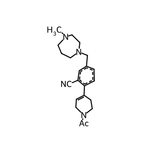 CC(=O)N1CC=C(c2ccc(CN3CCCN(C)CC3)cc2C#N)CC1